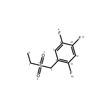 CCS(=O)(=O)Cc1cc(F)c(F)cc1F